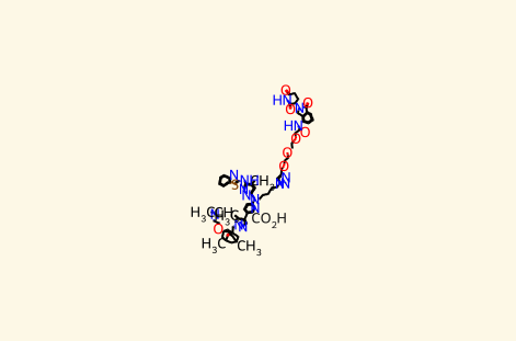 Cc1cc(N(CCCCCn2cc(COCCOCCOCC(=O)Nc3cccc4c3CN(C3CCC(=O)NC3=O)C4=O)nn2)c2ccc(-c3cnn(CC45CC6(C)CC(C)(C4)CC(OCCN(C)C)(C6)C5)c3C)c(C(=O)O)n2)nnc1Nc1nc2ccccc2s1